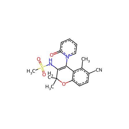 Cc1c(C#N)ccc2c1C(n1ccccc1=O)=C(NS(C)(=O)=O)C(C)(C)O2